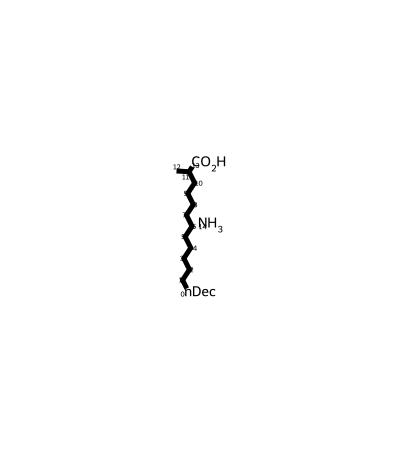 CCCCCCCCCCCCCCCCCCCCC(C)C(=O)O.N